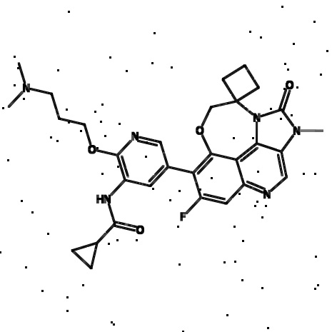 CN(C)CCCOc1ncc(-c2c(F)cc3ncc4c5c3c2OCC2(CCC2)n5c(=O)n4C)cc1NC(=O)C1CC1